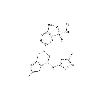 CCNS(=O)(=O)c1cc(N2C=C(Nc3cc(C)[nH]n3)[N+]3C=C(C)N=C3C2)ccc1OC